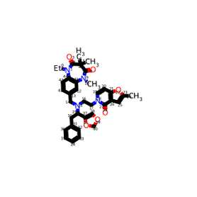 CCN1C(=O)C(C)(C)C(=O)N(C)c2cc(CN(CCn3ccc4oc(C)cc4c3=O)C(Cc3ccccc3)C3=COCO3)ccc21